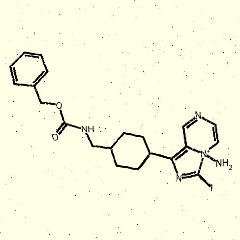 N[N+]12C=CN=CC1=C(C1CCC(CNC(=O)OCc3ccccc3)CC1)N=C2I